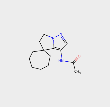 CC(=O)Nc1cnn2c1C1(CCCCCC1)CC2